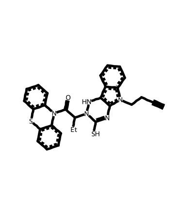 C#CCCn1c2c(c3ccccc31)NN(C(CC)C(=O)N1c3ccccc3Sc3ccccc31)C(S)=N2